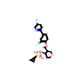 O=S(=O)(NC1CCOCC1COc1ccc(-c2ccc(F)cn2)cc1F)C1CC1